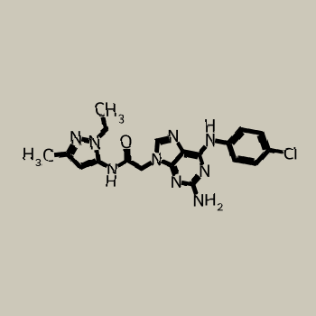 CCn1nc(C)cc1NC(=O)Cn1cnc2c(Nc3ccc(Cl)cc3)nc(N)nc21